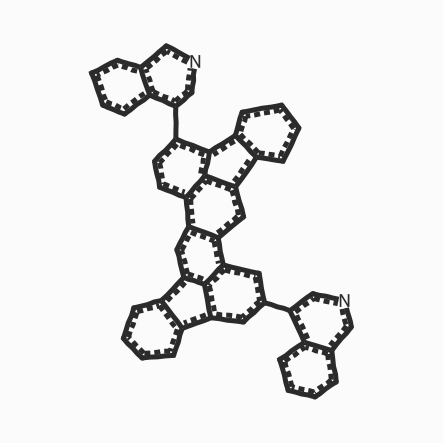 c1ccc2c(-c3cc4c5ccccc5c5cc6c(cc7c8ccccc8c8c(-c9cncc%10ccccc9%10)ccc6c78)c(c3)c45)cncc2c1